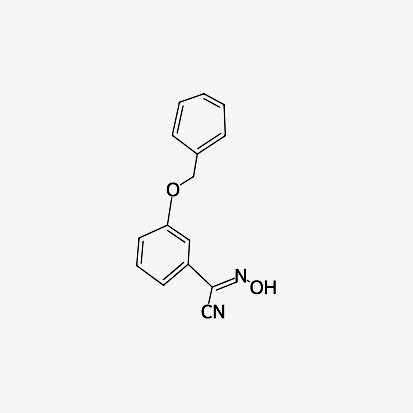 N#C/C(=N\O)c1cccc(OCc2ccccc2)c1